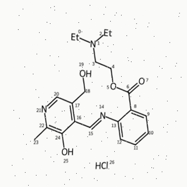 CCN(CC)CCOC(=O)c1ccccc1N=Cc1c(CO)cnc(C)c1O.Cl